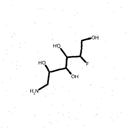 NCC(O)C(O)C(O)C(F)CO